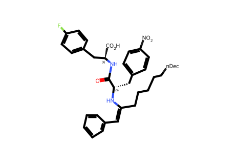 CCCCCCCCCCCCCCCC(=Cc1ccccc1)N[C@@H](Cc1ccc([N+](=O)[O-])cc1)C(=O)N[C@@H](Cc1ccc(F)cc1)C(=O)O